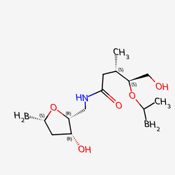 BC(C)O[C@H](CO)[C@@H](C)CC(=O)NC[C@H]1O[C@@H](B)C[C@H]1O